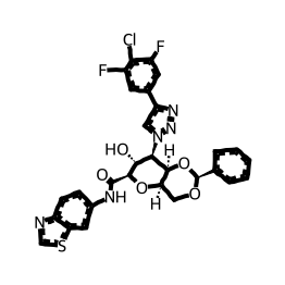 O=C(Nc1ccc2ncsc2c1)[C@@H]1O[C@@H]2CO[C@H](c3ccccc3)O[C@@H]2[C@H](n2cc(-c3cc(F)c(Cl)c(F)c3)nn2)[C@H]1O